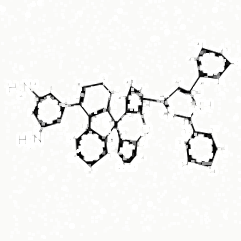 Nc1cc(N)cc(C2=CCCC3=C2c2ccccc2C32c3ccccc3Oc3c(C4=NC(c5ccccc5)NC(c5ccccc5)=C4)cccc32)c1